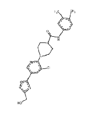 Cc1ccc(NC(=O)N2CCN(c3ncc(-c4nc(CO)no4)cc3Cl)CC2)cc1C